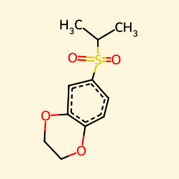 CC(C)S(=O)(=O)c1ccc2c(c1)OCCO2